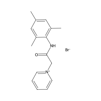 Cc1cc(C)c(NC(=O)C[n+]2ccccc2)c(C)c1.[Br-]